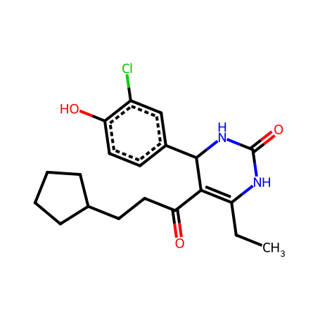 CCC1=C(C(=O)CCC2CCCC2)C(c2ccc(O)c(Cl)c2)NC(=O)N1